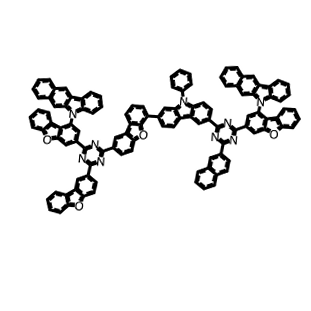 c1ccc(-n2c3ccc(-c4nc(-c5ccc6ccccc6c5)nc(-c5cc(-n6c7ccccc7c7cc8ccccc8cc76)c6c(c5)oc5ccccc56)n4)cc3c3ccc(-c4cccc5c4oc4ccc(-c6nc(-c7cc(-n8c9ccccc9c9cc%10ccccc%10cc98)c8c(c7)oc7ccccc78)nc(-c7ccc8oc9ccccc9c8c7)n6)cc45)cc32)cc1